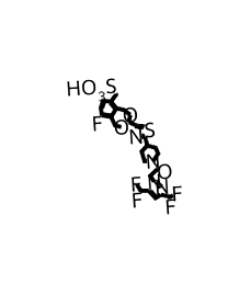 O=C(Cn1nc(C(F)F)cc1C(F)F)N1CCC(c2nc(C3OCc4c(F)ccc(CS(=O)(=O)O)c4CO3)cs2)CC1